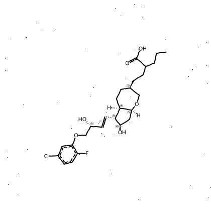 CCCC(CC[C@@H]1CC[C@@H]2[C@@H](/C=C/[C@@H](O)COc3cc(Cl)ccc3F)[C@H](O)C[C@@H]2OC1)C(=O)O